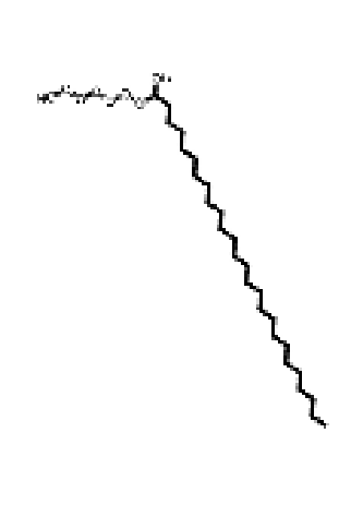 CCCCCCCCCCCCCCCCCCCCCCCCCC(O)OOOOOOO